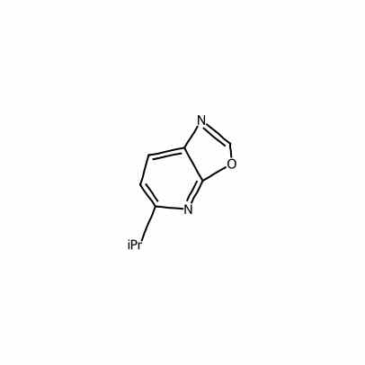 CC(C)c1ccc2ncoc2n1